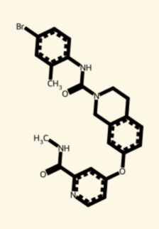 CNC(=O)c1cc(Oc2ccc3c(c2)CN(C(=O)Nc2ccc(Br)cc2C)CC3)ccn1